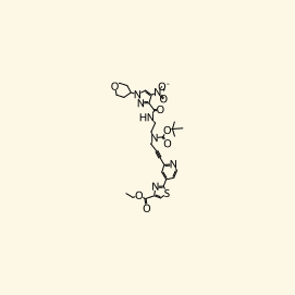 CCOC(=O)c1csc(-c2ccnc(C#CCN(CCNC(=O)c3nn(C4CCOCC4)cc3[N+](=O)[O-])C(=O)OC(C)(C)C)c2)n1